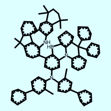 Cc1cc2c(cc1Nc1c(-c3cc(N(c4ccc(-c5ccccc5)cc4C)c4ccc(-c5ccccc5)cc4C)cc4c3Bc3cccc5c3N4c3ccccc3C5(c3ccccc3)c3ccccc3)ccc3c1-c1ccccc1C3(C)C)C(C)(C)CCC2(C)C